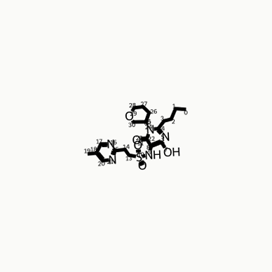 CCCCc1nc(O)c(NS(=O)(=O)CCc2ncc(C)cn2)c(=O)n1[C@@H]1CCCOC1